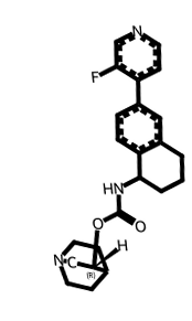 O=C(NC1CCCc2cc(-c3ccncc3F)ccc21)O[C@H]1CN2CCC1CC2